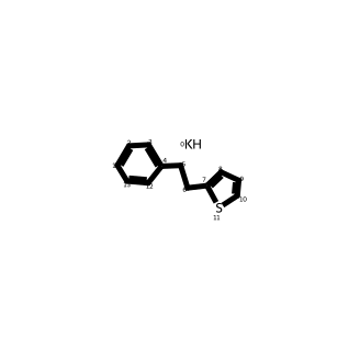 [KH].c1ccc(CCc2cccs2)cc1